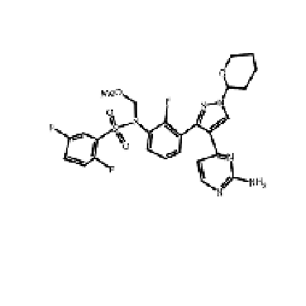 COCN(c1cccc(-c2nn(C3CCCCO3)cc2-c2ccnc(N)n2)c1F)S(=O)(=O)c1cc(F)ccc1F